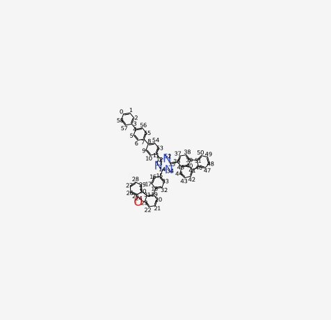 c1ccc(-c2ccc(-c3ccc(-c4nc(-c5ccc(-c6cccc7oc8ccccc8c67)cc5)nc(-c5ccc6c7c(cccc57)-c5ccccc5-6)n4)cc3)cc2)cc1